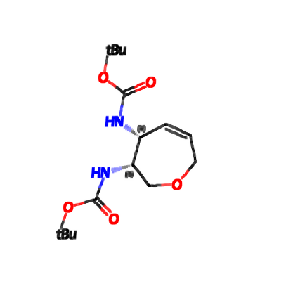 CC(C)(C)OC(=O)N[C@H]1COCC=C[C@H]1NC(=O)OC(C)(C)C